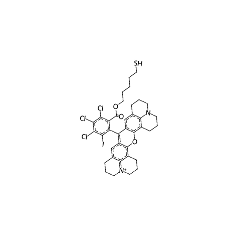 O=C(OCCCCCS)c1c(Cl)c(Cl)c(Cl)c(I)c1C1=c2cc3c4c(c2Oc2c1cc1c5c2CCCN5CCC1)CCC[N+]=4CCC3